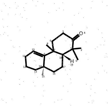 CC1(C)C(=O)CCC2(C)C3=CCCC[C@]3(C)CC[C@@H]12